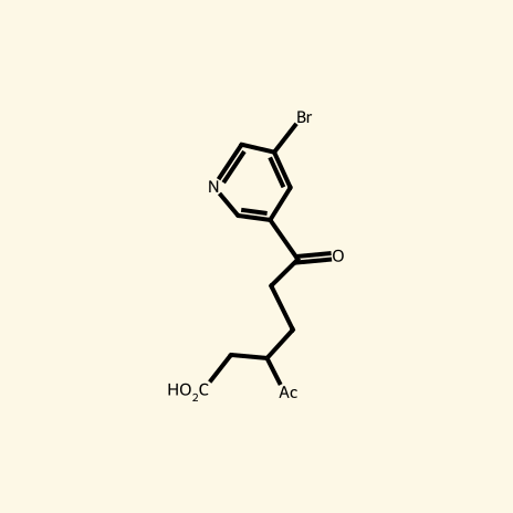 CC(=O)C(CCC(=O)c1cncc(Br)c1)CC(=O)O